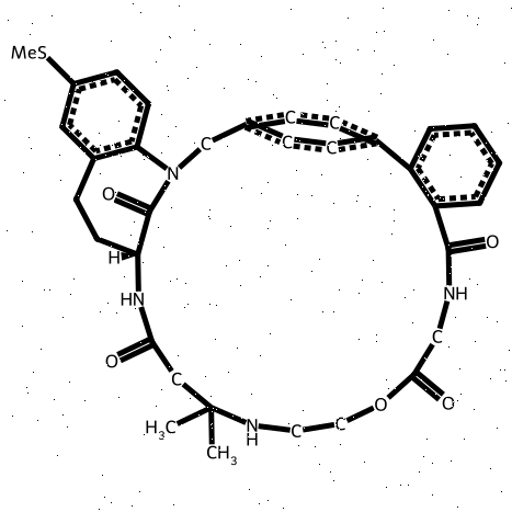 CSc1ccc2c(c1)CC[C@H]1NC(=O)CC(C)(C)NCCOC(=O)CNC(=O)c3ccccc3-c3ccc(cc3)CN2C1=O